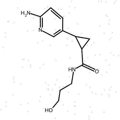 Nc1ccc(C2CC2C(=O)NCCCO)cn1